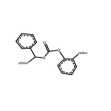 CCCCCCc1ccccc1OC(=O)OC(CCCCC)c1ccccc1